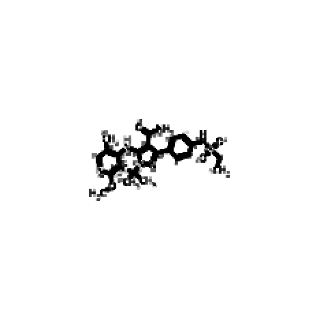 CCS(=O)(=O)Nc1ccc(-c2nn(C(C)(C)C)c(Nc3cc(OC)ncc3C)c2C(N)=O)cc1